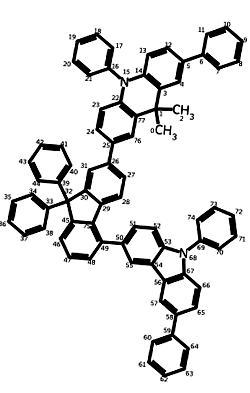 CC1(C)c2cc(-c3ccccc3)ccc2N(c2ccccc2)c2ccc(-c3ccc4c(c3)C(c3ccccc3)(c3ccccc3)c3cccc(-c5ccc6c(c5)c5cc(-c7ccccc7)ccc5n6-c5ccccc5)c3-4)cc21